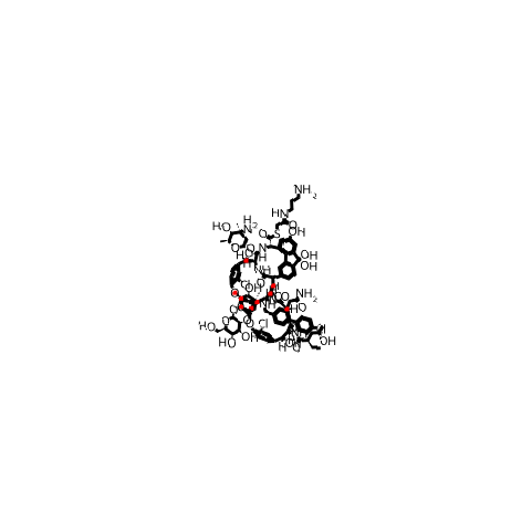 CC[C@H](CC(C)O)C(=O)N[C@H]1C(=O)C[C@@H](CC(N)=O)C(=O)N[C@H]2C(=O)C[C@H]3C(=O)N[C@H](C(=O)N[C@H](C(=O)SCC(=O)NCCCN)c4cc(O)cc5c4-c4cc3ccc4C5(O)O)[C@H](O[C@H]3C[C@](C)(N)[C@@H](O)[C@H](C)O3)c3ccc(c(Cl)c3)Oc3cc2cc(c3O[C@@H]2O[C@H](CO)[C@@H](O)[C@H](O)[C@H]2O[C@H]2C[C@](C)(NCc3ccc(-c4ccc(Cl)cc4)cc3)[C@@H](O)[C@H](C)O2)Oc2ccc(cc2Cl)[C@H]1O